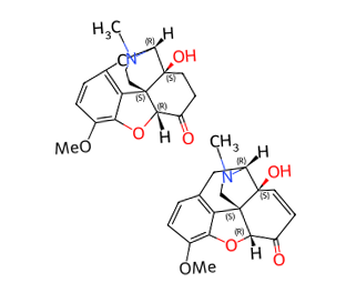 COc1ccc2c3c1O[C@H]1C(=O)C=C[C@@]4(O)[C@@H](C2)N(C)CC[C@]314.COc1ccc2c3c1O[C@H]1C(=O)CC[C@@]4(O)[C@@H](C2)N(C)CC[C@]314